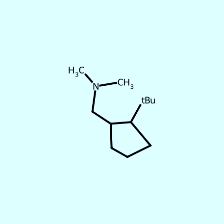 CN(C)CC1CCCC1C(C)(C)C